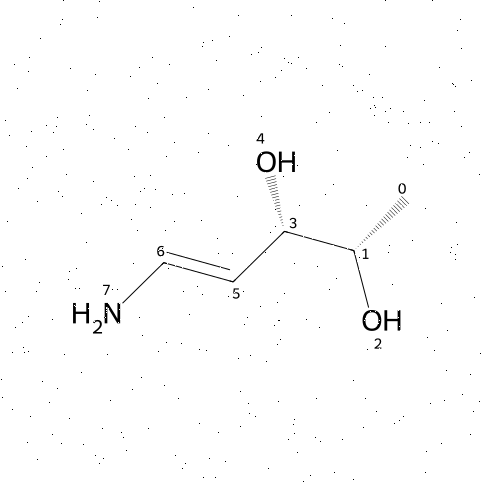 C[C@H](O)[C@@H](O)C=CN